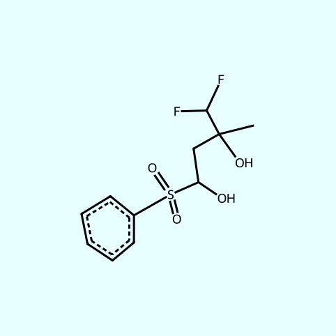 CC(O)(CC(O)S(=O)(=O)c1ccccc1)C(F)F